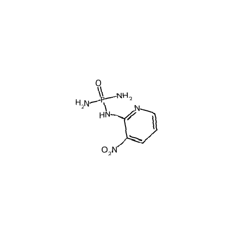 NP(N)(=O)Nc1ncccc1[N+](=O)[O-]